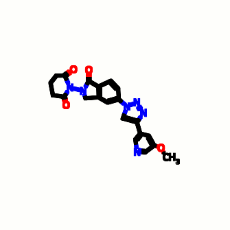 COc1cncc(-c2cn(-c3ccc4c(c3)CN(N3C(=O)CCCC3=O)C4=O)nn2)c1